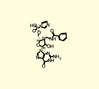 Nc1nc2c(ncn2[C@@H]2O[C@H](COP(=O)(O)n3ccnc3)[C@@H](CNC(=O)c3ccccc3)[C@H]2O)c(=O)[nH]1